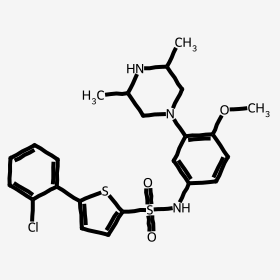 COc1ccc(NS(=O)(=O)c2ccc(-c3ccccc3Cl)s2)cc1N1CC(C)NC(C)C1